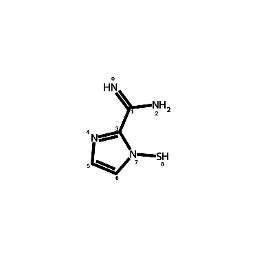 N=C(N)c1nccn1S